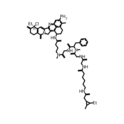 C=C(CCCCCNC(=C)CC1C(C)C1CC)NCC(=C)NCC(=C)N(C)C(Cc1ccccc1)C(=C)NCC(=C)N(C)CCCC(=C)NC1CCc2c(C)c(P)cc3nc4c(c1c23)CN1C(=C)C2=C(C=C41)[C@@](Cl)(CC)C(=C)CC2